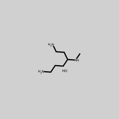 CNC(CCN)CCCN.Cl